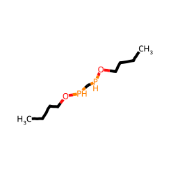 CCCCOPCPOCCCC